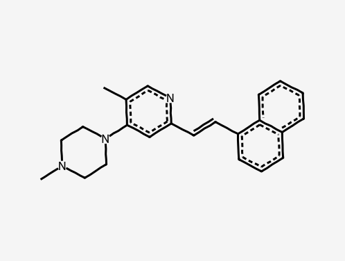 Cc1cnc(C=Cc2cccc3ccccc23)cc1N1CCN(C)CC1